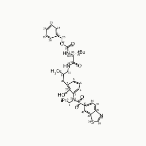 CC(C)CN(c1cccc(CC(C)CNC(=O)[C@H](NC(=O)OCc2ccccc2)C(C)(C)C)c1O)S(=O)(=O)c1ccc2ncsc2c1